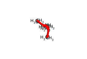 C=C(C)C(=O)OCCCCCCCCCCOc1ccc(-c2cc(N)c3c(c2N)C(=O)c2c(N)c(-c4ccc(OCCCCCCCCCCOC(=O)C(=C)C)cc4)cc(N)c2C3=O)cc1